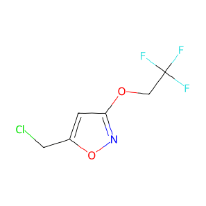 FC(F)(F)COc1cc(CCl)on1